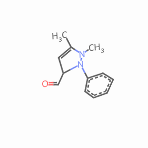 CC1=CC(C=O)N(c2ccccc2)N1C